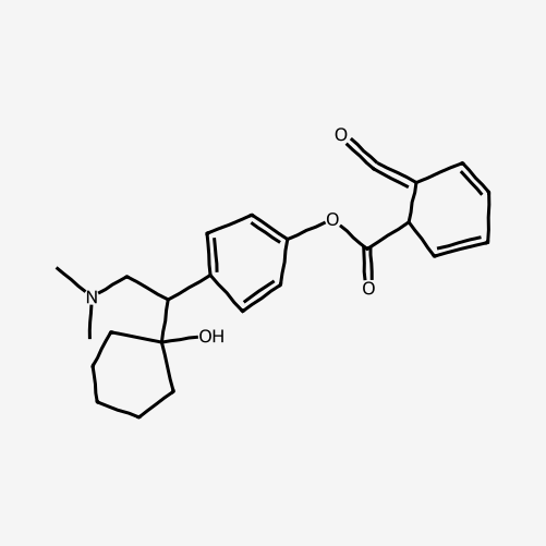 CN(C)CC(c1ccc(OC(=O)C2C=CC=CC2=C=O)cc1)C1(O)CCCCC1